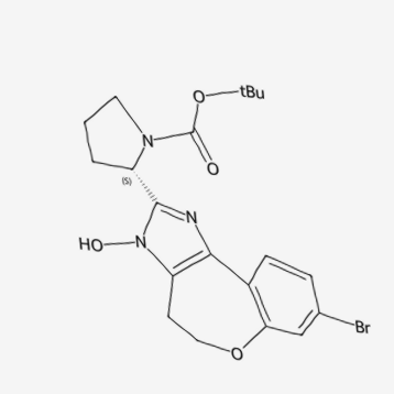 CC(C)(C)OC(=O)N1CCC[C@H]1c1nc2c(n1O)CCOc1cc(Br)ccc1-2